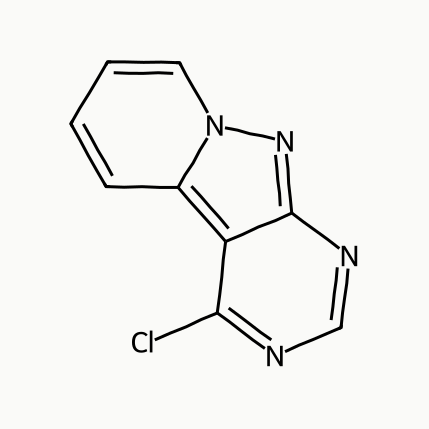 Clc1ncnc2nn3ccccc3c12